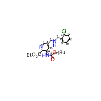 CCOC(=O)c1ncc(CNCc2ccccc2Cl)cc1NC(=O)OC(C)(C)C